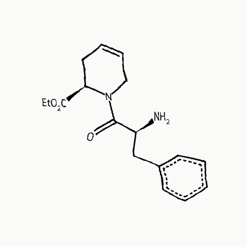 CCOC(=O)[C@H]1CC=CCN1C(=O)[C@@H](N)Cc1ccccc1